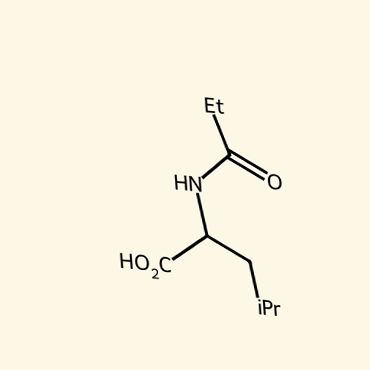 CCC(=O)NC(CC(C)C)C(=O)O